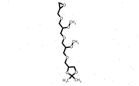 COC(COCC(COCC1COC(C)(C)O1)OC)COCC1CO1